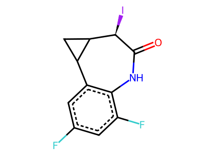 O=C1Nc2c(F)cc(F)cc2C2CC2[C@H]1I